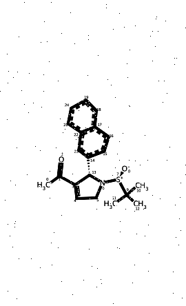 CC(=O)C1=CCN([S@@+]([O-])C(C)(C)C)[C@H]1c1ccc2ccccc2c1